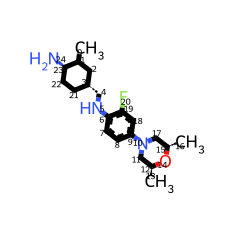 CC1C[C@H](CNc2ccc(N3C[C@@H](C)O[C@@H](C)C3)cc2F)CC[C@H]1N